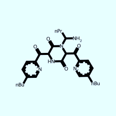 CCCCc1ccc(C(=O)C2NC(=O)C(C(=O)c3ccc(CCCC)cn3)N(C(N)CCC)C2=O)nc1